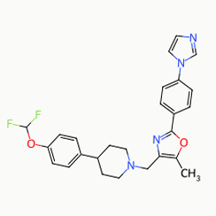 Cc1oc(-c2ccc(-n3ccnc3)cc2)nc1CN1CCC(c2ccc(OC(F)F)cc2)CC1